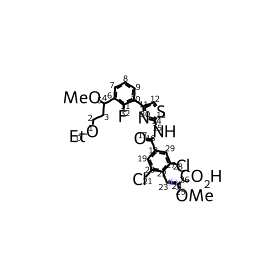 CCOCCC(OC)c1cccc(-c2csc(NC(=O)c3cc(Cl)c(/C=C(/OC)C(=O)O)c(Cl)c3)n2)c1F